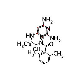 C=C([C@H](C)Nc1cc(N)nc(N)n1)N(C(=O)c1c(C)cccc1C)c1ccccc1